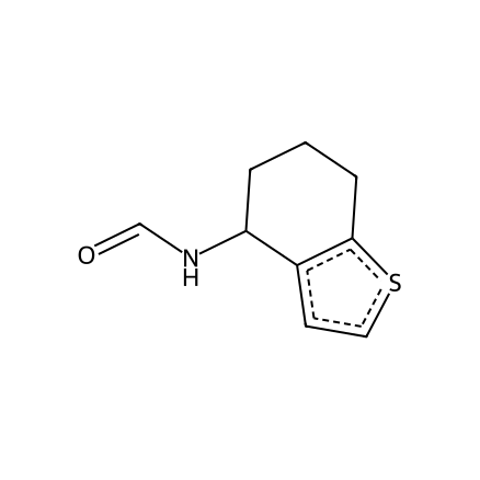 O=CNC1CCCc2sccc21